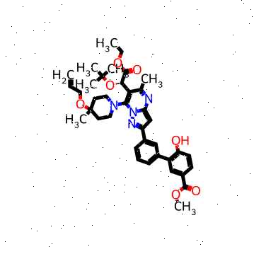 C=CCOC1(C)CCN(c2c([C@H](OC(C)(C)C)C(=O)OCC)c(C)nc3cc(-c4cccc(-c5cc(C(=O)OC)ccc5O)c4)nn23)CC1